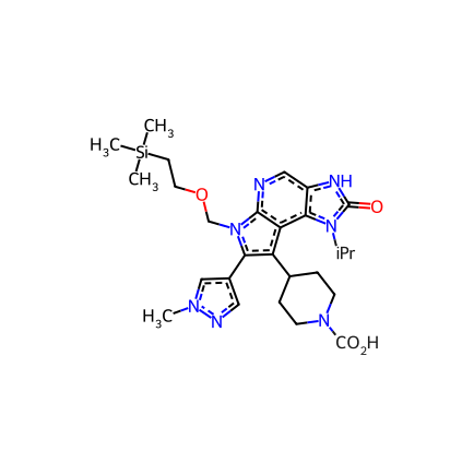 CC(C)n1c(=O)[nH]c2cnc3c(c(C4CCN(C(=O)O)CC4)c(-c4cnn(C)c4)n3COCC[Si](C)(C)C)c21